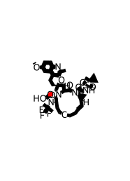 COc1ccc2nc(C)c3c(c2c1)CC[C@]1(C[C@H]2C(=O)N[C@]4(C(=O)NS(=O)(=O)C5(C)CC5)C[C@H]4/C=C\CCCCC[C@H](N(C(=O)O)C(C)(C)C(F)(F)F)C(=O)N2C1)O3